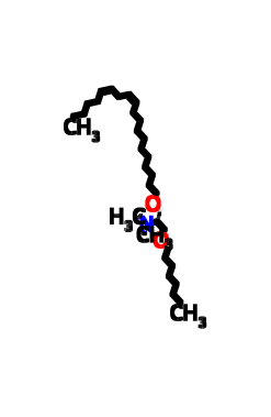 CCCCC/C=C\C/C=C\CCCCCCCCCCOC[C@H](COCCCCCCCC)N(C)C